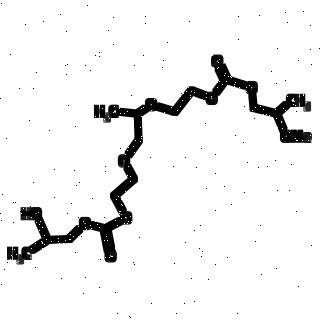 COC(C)COC(=O)OCCOC(C)COCCOC(=O)OCC(C)O